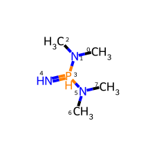 CN(C)[PH](=N)N(C)C